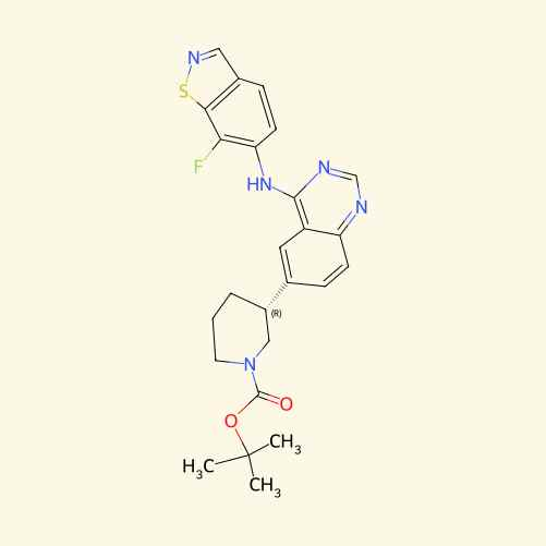 CC(C)(C)OC(=O)N1CCC[C@H](c2ccc3ncnc(Nc4ccc5cnsc5c4F)c3c2)C1